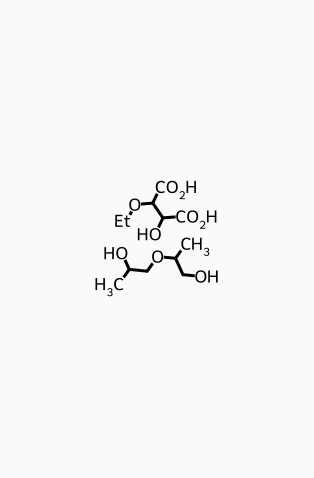 CC(O)COC(C)CO.CCOC(C(=O)O)C(O)C(=O)O